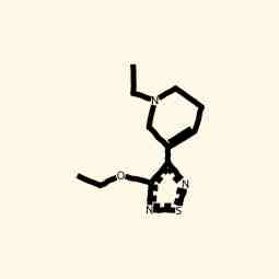 CCOc1nsnc1C1=CCCN(CC)C1